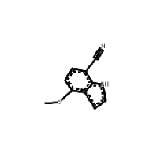 COc1ccc(C#N)c2[nH]ccc12